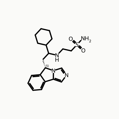 NS(=O)(=O)CCNC(C[C@H]1c2ccccc2-c2cncn21)C1CCCCC1